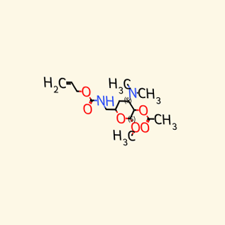 C=CCOC(=O)NCC1C[C@H](N(C)C)C(OC(C)=O)[C@@H](OC)O1